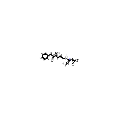 N/C(=N\[N+](=O)[O-])NCCCC(N)C(=O)Cc1ccccc1